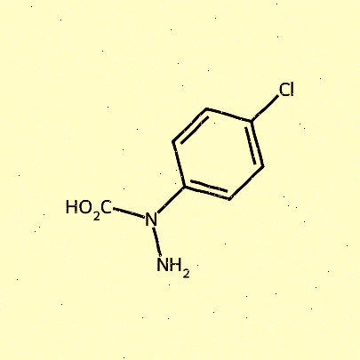 NN(C(=O)O)c1ccc(Cl)cc1